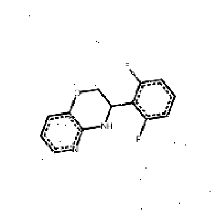 Fc1cccc(F)c1C1COc2cccnc2N1